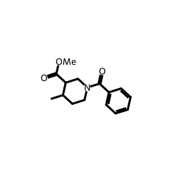 COC(=O)C1CN(C(=O)c2ccccc2)CCC1C